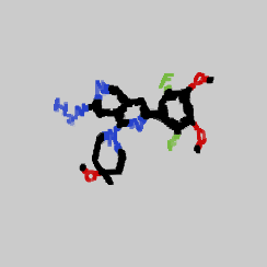 COc1cc(OC)c(F)c(-c2cc3cnc(N)cc3c(N3CCC(C)(OC)CC3)n2)c1F